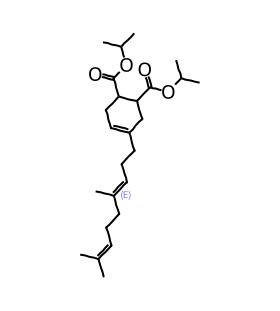 CC(C)=CCC/C(C)=C/CCC1=CCC(C(=O)OC(C)C)C(C(=O)OC(C)C)C1